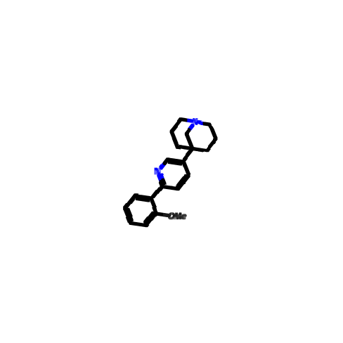 COc1ccccc1-c1ccc(C23CCCN(CCC2)C3)cn1